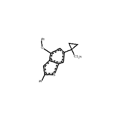 CC(C)Oc1cc(C2(C(=O)O)CC2)cc2sc(C(C)C)cc12